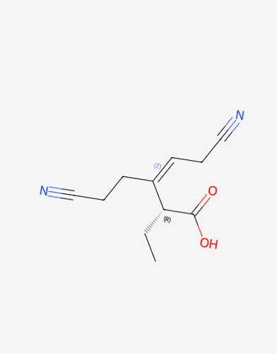 CC[C@@H](C(=O)O)/C(=C\CC#N)CCC#N